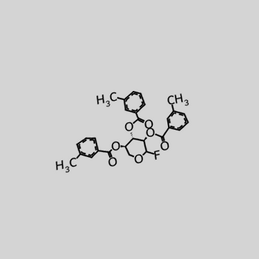 Cc1cccc(C(=O)O[C@H]2[C@H](OC(=O)c3cccc(C)c3)COC(F)[C@@H]2OC(=O)c2cccc(C)c2)c1